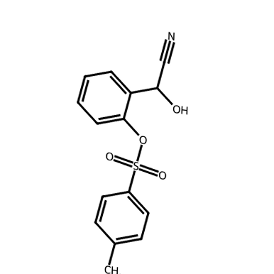 Cc1ccc(S(=O)(=O)Oc2ccccc2C(O)C#N)cc1